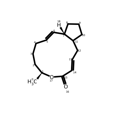 C[C@H]1CCC/C=C/[C@@H]2CCCC2C/C=C/C(=O)O1